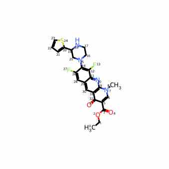 CCOC(=O)c1cn(C)c2nc3c(F)c(N4CCNC(c5cccs5)C4)c(F)cc3cc2c1=O